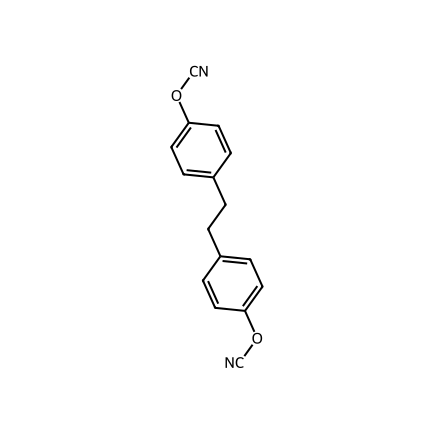 N#COc1ccc(CCc2ccc(OC#N)cc2)cc1